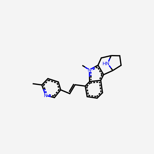 Cc1ccc(C=Cc2cccc3c4c(n(C)c23)CC2CCC4N2)cn1